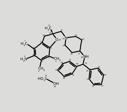 Cc1c(C)c2c(c(C)c1N)C[C@](C)(CN1CCC(NC(c3ccccc3)c3ccccc3)CC1)O2.O=S(=O)(O)O